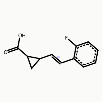 O=C(O)C1CC1/C=C/c1ccccc1F